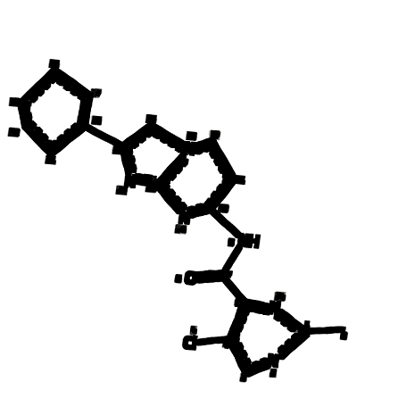 Cc1ncc(Cl)c(C(=O)Nc2ccn3cc(-c4ccccc4)nc3n2)n1